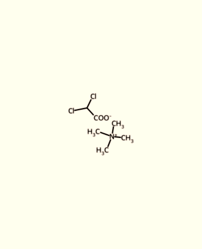 C[N+](C)(C)C.O=C([O-])C(Cl)Cl